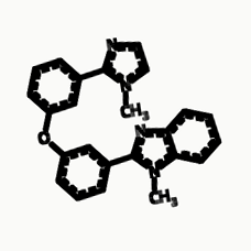 Cn1ccnc1-c1cccc(Oc2cccc(-c3nc4ccccc4n3C)c2)c1